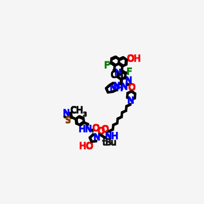 C#Cc1c(F)ccc2cc(O)cc(-c3ncc4c(N5CC6CCC(C5)N6)nc(OC5CCN(CCCCCCCCCC(=O)NC(C(=O)N6C[C@@H](O)C[C@@H]6C(=O)NCc6ccc(-c7scnc7C)cc6)C(C)(C)C)CC5)nc4c3F)c12